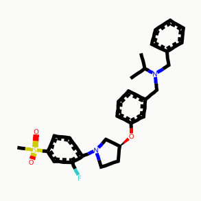 CC(C)N(Cc1ccccc1)Cc1cccc(O[C@H]2CCN(c3ccc(S(C)(=O)=O)cc3F)C2)c1